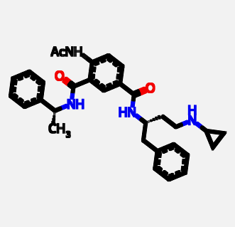 CC(=O)Nc1ccc(C(=O)N[C@H](CCNC2CC2)Cc2ccccc2)cc1C(=O)N[C@H](C)c1ccccc1